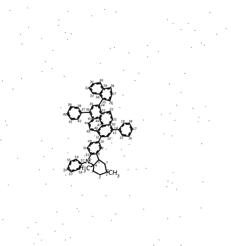 CC1CCC2(C)C(C1)c1cc(-c3cc(-c4ccccc4)c4ccc5c(-c6cccc7ccccc67)cc(-c6ccccc6)c6ccc3c4c65)ccc1N2c1ccccc1